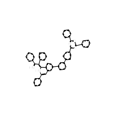 N=C(/C(=C1\NC(c2ccccc2)=Cc2cc(-c3cccc(-c4ccc(-c5nc(-c6ccccc6)nc(-c6ccccc6)n5)cc4)c3)ccc21)c1ccccc1)c1ccccc1